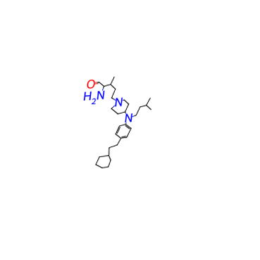 CC(C)CCN(c1ccc(CCC2CCCCC2)cc1)C1CCN(CCC(C)C(N)C=O)CC1